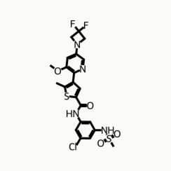 COc1cc(N2CC(F)(F)C2)cnc1-c1cc(C(=O)Nc2cc(Cl)cc(NS(C)(=O)=O)c2)sc1C